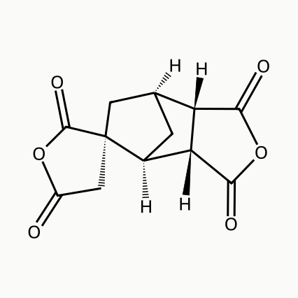 O=C1C[C@@]2(C[C@@H]3C[C@H]2[C@H]2C(=O)OC(=O)[C@@H]32)C(=O)O1